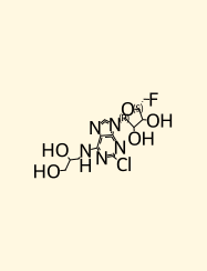 OCC(O)CNc1nc(Cl)nc2c1ncn2[C@@H]1O[C@H](CF)C(O)C1O